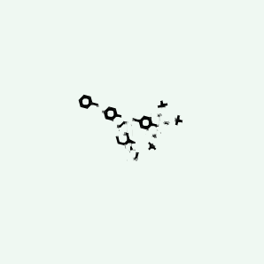 CC(C)(C)OC(=O)N=C(c1ccc(C(=O)N[C@@H](Cc2ccc(OCc3ccccc3)cc2)C(=O)N2CCc3nn(CC(=O)O)cc3C2)cc1)N(C(=O)OC(C)(C)C)C(=O)OC(C)(C)C